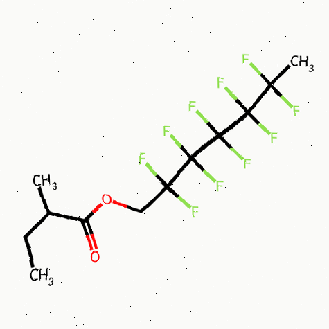 CCC(C)C(=O)OCC(F)(F)C(F)(F)C(F)(F)C(F)(F)C(C)(F)F